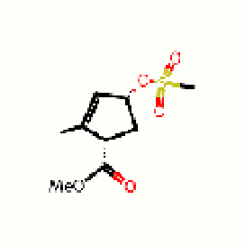 COC(=O)[C@H]1C[C@@H](OS(C)(=O)=O)C=C1C